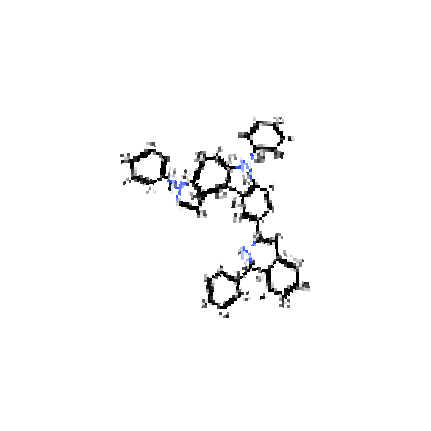 c1ccc(-c2nc(-c3ccc4c(c3)c3c5ccn(-c6ccccc6)c5ccc3n4-c3ccccc3)cc3ccccc23)cc1